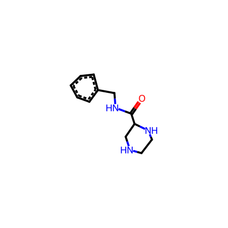 O=C(NCc1ccccc1)C1CNCCN1